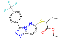 CCOC(=O)C(CC)Sc1ccc2nnc(-c3ccc(C(F)(F)F)cc3)n2n1